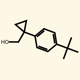 CC(C)(C)c1ccc(C2(CO)CC2)cc1